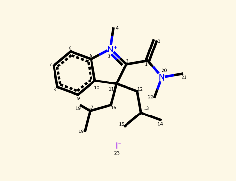 C=C(C1=[N+](C)c2ccccc2C1(CC(C)C)CC(C)C)N(C)C.[I-]